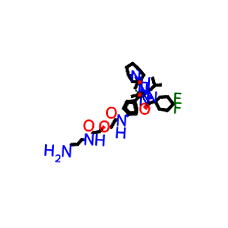 Cc1nnc(C(C)C)n1C1CC2CCC(C1)N2CC[C@H](NC(=O)C1CCC(F)(F)CC1)c1ccc(NC(=O)COCC(=O)NCCCN)cc1